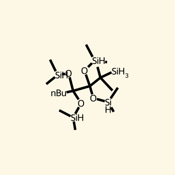 CCCCC(O[SiH](C)C)(O[SiH](C)C)C(O[SiH](C)C)(O[SiH](C)C)C(C)(C)[SiH3]